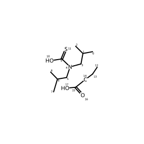 CC(C)CN(CC(C)C)C(O)=S.CCCC(=O)O